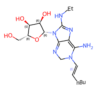 CCCC/C=C/N1CN=c2c(nc(NCC)n2[C@@H]2O[C@H](CO)[C@@H](O)[C@H]2O)=C1N